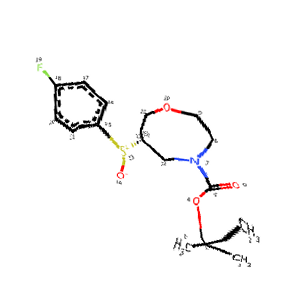 CC(C)(C)OC(=O)N1CCOC[C@@H]([S+]([O-])c2ccc(F)cc2)C1